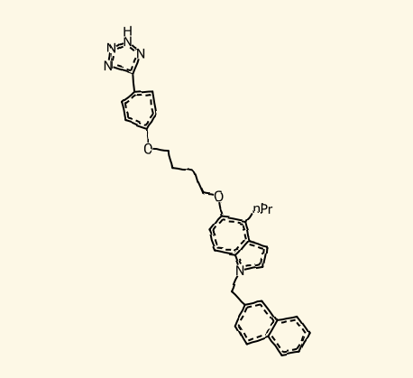 CCCc1c(OCCCCOc2ccc(-c3nn[nH]n3)cc2)ccc2c1ccn2Cc1ccc2ccccc2c1